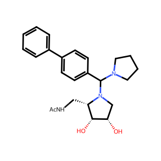 CC(=O)NC[C@H]1[C@@H](O)[C@@H](O)CN1C(c1ccc(-c2ccccc2)cc1)N1CCCC1